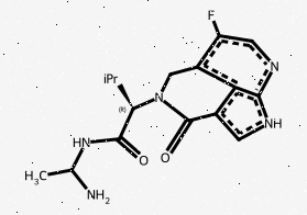 CC(N)NC(=O)[C@@H](C(C)C)N1Cc2c(F)cnc3[nH]cc(c23)C1=O